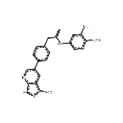 C=C(Cc1ccc(-c2cnc3[nH]nc(OC)c3c2)cc1)Nc1cnc(OC)c(C(F)(F)F)c1